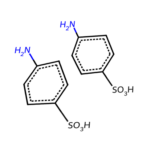 Nc1ccc(S(=O)(=O)O)cc1.Nc1ccc(S(=O)(=O)O)cc1